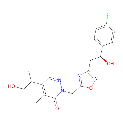 Cc1c(C(C)CO)cnn(Cc2nc(C[C@H](O)c3ccc(Cl)cc3)no2)c1=O